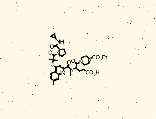 CCOC(=O)N1CCN(C(=O)C(CCC(=O)O)NC(=O)c2cc(OC(C)(C)C(=O)N3CCCC3C(=O)NC3CC3)c3ccc(C)cc3n2)CC1